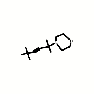 CC(C)(C)C#CC(C)(C)N1CCOCC1